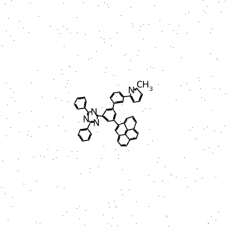 Cc1cccc(-c2cccc(-c3cc(-c4nc(-c5ccccc5)nc(-c5ccccc5)n4)cc(-c4cc5cccc6ccc7cccc4c7c65)c3)c2)n1